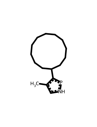 Cc1c[nH]pc1C1CCCCCCCCCCC1